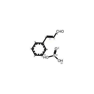 O=C/C=C/c1ccccc1.O=S(O)O